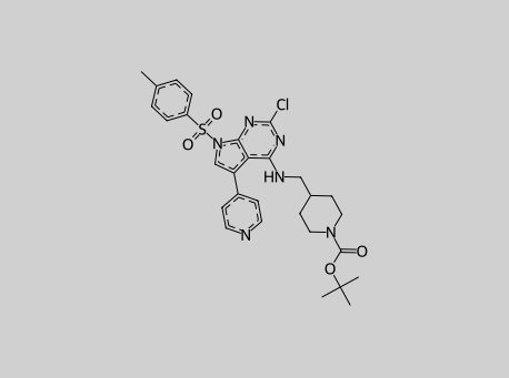 Cc1ccc(S(=O)(=O)n2cc(-c3ccncc3)c3c(NCC4CCN(C(=O)OC(C)(C)C)CC4)nc(Cl)nc32)cc1